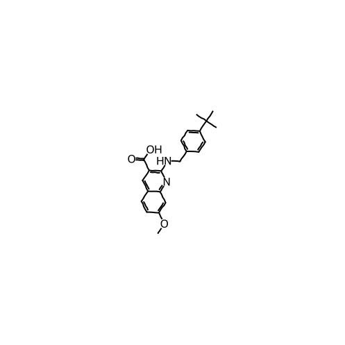 COc1ccc2cc(C(=O)O)c(NCc3ccc(C(C)(C)C)cc3)nc2c1